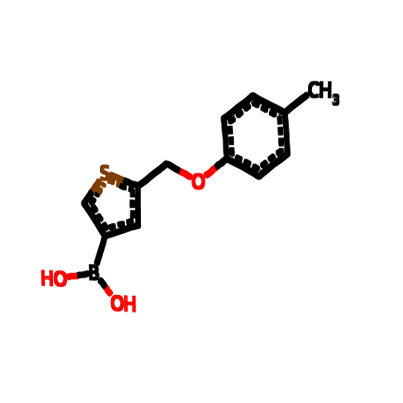 Cc1ccc(OCc2cc(B(O)O)cs2)cc1